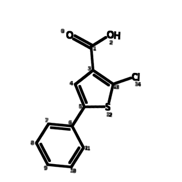 O=C(O)c1cc(-c2ccccc2)sc1Cl